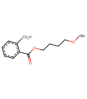 CCCCOCCCCOC(=O)c1ccccc1C(=O)O